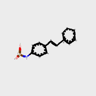 O=S(=O)=Nc1ccc(C=Cc2ccccc2)cc1